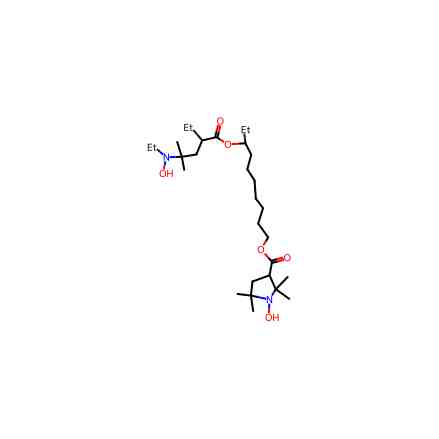 CCC(CCCCCCCOC(=O)C1CC(C)(C)N(O)C1(C)C)OC(=O)C(CC)CC(C)(C)N(O)CC